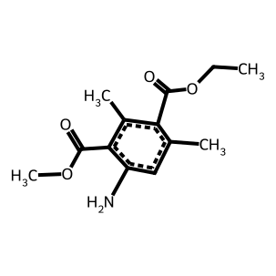 CCOC(=O)c1c(C)cc(N)c(C(=O)OC)c1C